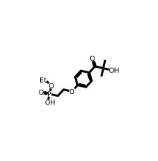 CCOP(=O)(O)CCOc1ccc(C(=O)C(C)(C)O)cc1